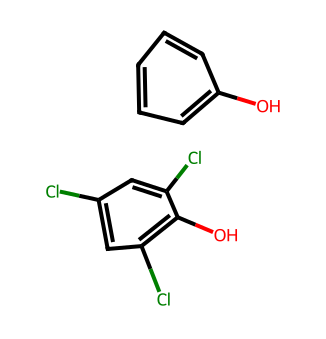 Oc1c(Cl)cc(Cl)cc1Cl.Oc1ccccc1